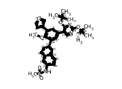 COc1c(-c2ccoc2)cc(-c2cnc(OC(C)(C)C)nc2OC(C)(C)C)cc1-c1ccc2cc(NS(C)(=O)=O)ccc2c1